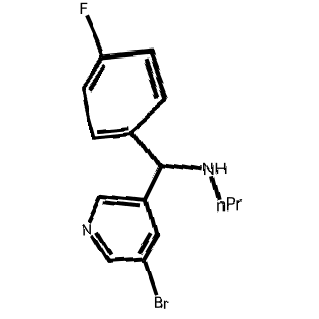 CCCNC(c1ccc(F)cc1)c1cncc(Br)c1